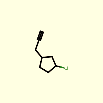 [C]#CCC1CCC(Cl)C1